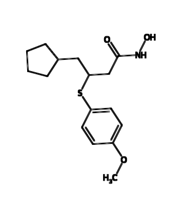 COc1ccc(SC(CC(=O)NO)CC2CCCC2)cc1